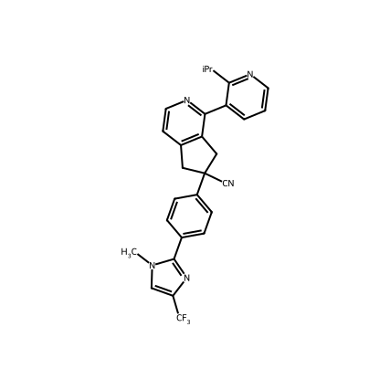 CC(C)c1ncccc1-c1nccc2c1CC(C#N)(c1ccc(-c3nc(C(F)(F)F)cn3C)cc1)C2